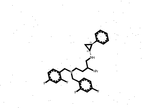 CCCC(CCN(Cc1ccc(F)cc1F)Cc1ccc(F)cc1F)CN[C@@H]1C[C@H]1c1ccccc1